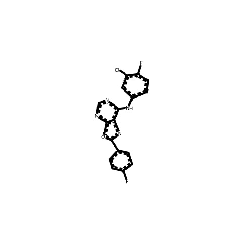 Fc1ccc(-c2nc3c(Nc4ccc(F)c(Cl)c4)ncnc3o2)cc1